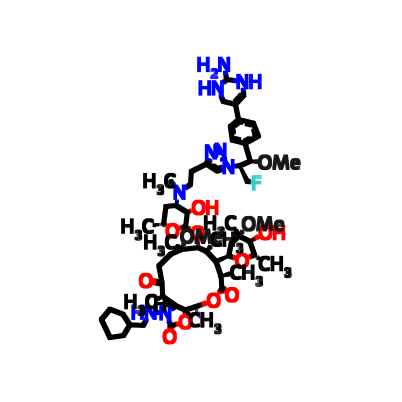 CO[C@H](c1ccc(C2=CNC(N)NC2)cc1)[C@@H](CF)n1cc(CCN(C)[C@H]2C[C@@H](C)O[C@@H](O[C@@H]3[C@@H](C)C([C@H]4C[C@@](C)(OC)[C@@H](O)[C@H](C)O4)[C@@H](C)C(=O)O[C@H](I)[C@@]4(C)OC(=O)N(NCC5CCCCC5)[C@@H]4[C@@H](C)C(=O)CC[C@@]3(C)OC)[C@@H]2O)nn1